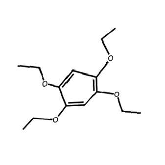 CCOc1cc(OCC)c(OCC)cc1OCC